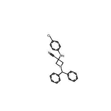 N#CC1(Nc2ccc(Cl)cc2)CN(C(c2ccccc2)c2ccccc2)C1